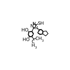 CC(C)c1cc(-c2nnc(S)n2-c2ccc3c(c2)CCC3)c(O)cc1O